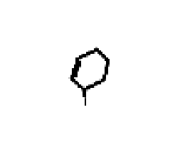 IC1C=CCCC1